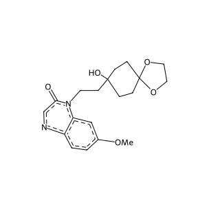 COc1ccc2ncc(=O)n(CCC3(O)CCC4(CC3)OCCO4)c2c1